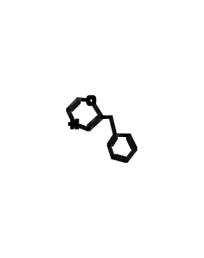 C1=COC(Cc2ccccc2)=C[N]1